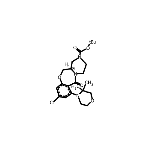 CC(C)(C)OC(=O)N1CCN2C(=O)c3c(cc(Cl)cc3N3CCOCC3(C)C)OC[C@H]2C1